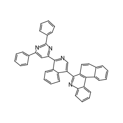 c1ccc(-c2cc(-c3ncc(-c4nc5ccccc5c5c4ccc4ccccc45)c4ccccc34)nc(-c3ccccc3)n2)cc1